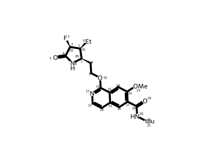 CC[C@@H]1[C@H](F)C(=O)N[C@@H]1CCOc1nccc2cc(C(=O)NC(C)(C)C)c(OC)cc12